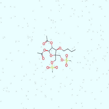 CCCCO[C@@H]1C(OC(C)=O)[C@H](OC(C)=O)OC1(COS(C)(=O)=O)COS(C)(=O)=O